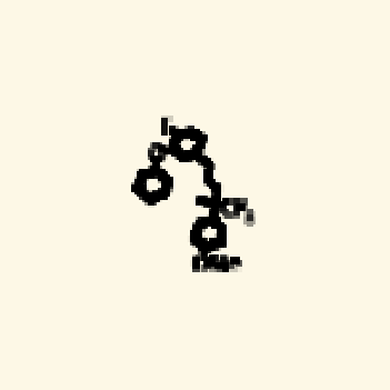 COc1ccc(C(C)(CCCc2ccc(F)c(Oc3ccccc3)c2)C(F)(F)F)cc1